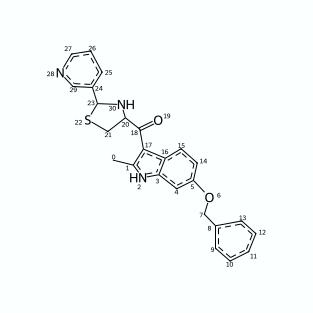 Cc1[nH]c2cc(OCc3ccccc3)ccc2c1C(=O)C1CSC(c2cccnc2)N1